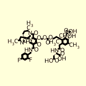 CC1=NO[C@@]2(CC[C@H](C)N3C[C@H]2n2cc(C(=O)NCc4ccc(F)cc4F)c(=O)c(OCOC(=O)OCCC(C)(C)c4c(CC(=O)N[C@@H](CC(=O)O)C(=O)O)cc(C)cc4OP(=O)(O)O)c2C3=O)C1